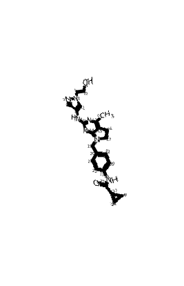 Cc1nc(Nc2cnn(CCO)c2)nc2c1CCN2Cc1ccc(NC(=O)C2CC2)cc1